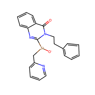 O=c1c2ccccc2nc([S+]([O-])Cc2ccccn2)n1CCc1ccccc1